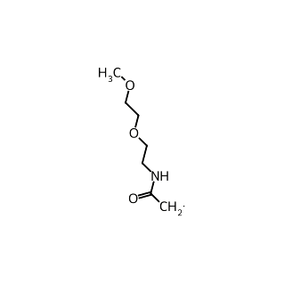 [CH2]C(=O)NCCOCCOC